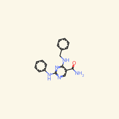 NC(=O)c1cnc(Nc2ccccc2)nc1NCc1ccccc1